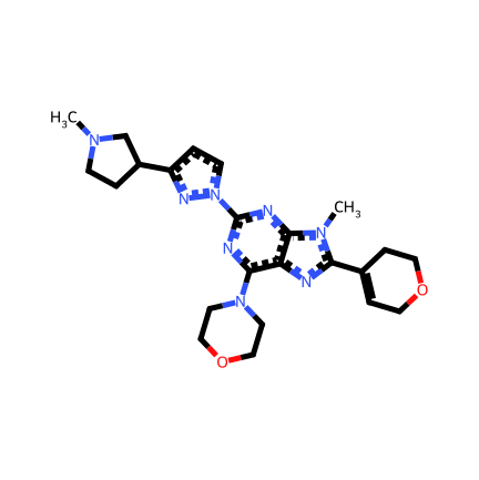 CN1CCC(c2ccn(-c3nc(N4CCOCC4)c4nc(C5=CCOCC5)n(C)c4n3)n2)C1